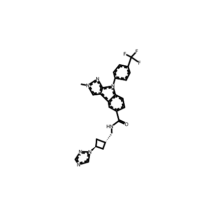 Cn1cc2c3cc(C(=O)NC[C@H]4C[C@H](n5cncn5)C4)ccc3n(-c3ccc(C(F)(F)F)cc3)c2n1